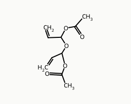 C=CC(OC(C)=O)OC(C=C)OC(C)=O